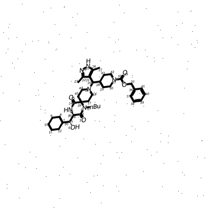 CCCCN1C(=O)[C@@H]([C@H](O)C2CCCCC2)NC(=O)C12CCN(C(c1c(C)n[nH]c1C)C1CCN(C(=O)OCc3ccccc3)CC1)CC2